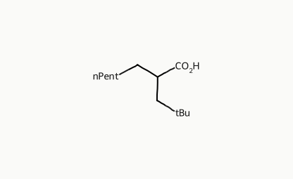 CCCCCCC(CC(C)(C)C)C(=O)O